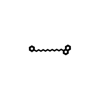 [c]1ccccc1CCCCCCCCCCCCc1cccc2ccccc12